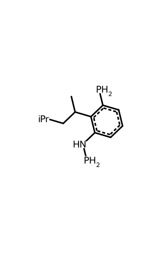 CC(C)CC(C)c1c(P)cccc1NP